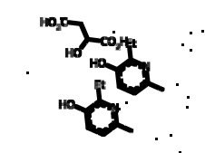 CCc1nc(C)ccc1O.CCc1nc(C)ccc1O.O=C(O)CC(O)C(=O)O